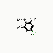 CNc1c(C(C)C)cc(Br)cc1C(C)C